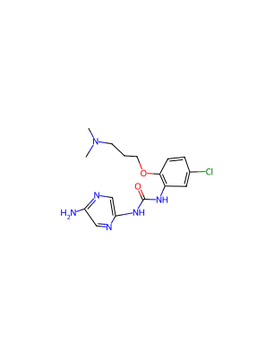 CN(C)CCCOc1ccc(Cl)cc1NC(=O)Nc1cnc(N)cn1